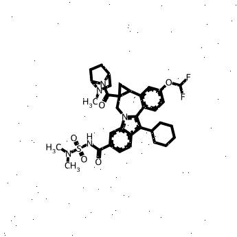 CN1CC2CCC1N2C(=O)C12CC1c1cc(OC(F)F)ccc1-c1c(C3CCCCC3)c3ccc(C(=O)NS(=O)(=O)N(C)C)cc3n1C2